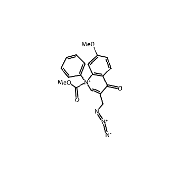 COC(=O)[N+]1(c2ccccc2)C=C(CN=[N+]=[N-])C(=O)c2ccc(OC)cc21